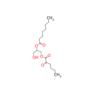 CCCCCCCC(=O)OC(CO)COC(=O)C(=O)CCCC